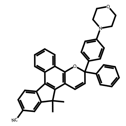 CC1(C)c2cc(C#N)ccc2-c2c1c1c(c3ccccc23)OC(c2ccccc2)(c2ccc(N3CCOCC3)cc2)C=C1